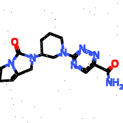 NC(=O)c1cnc(N2CCCC(N3CC4=CCCN4C3=O)C2)nn1